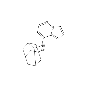 OC12CC3CC(C1)C(Nc1ccnn4cccc14)C(C3)C2